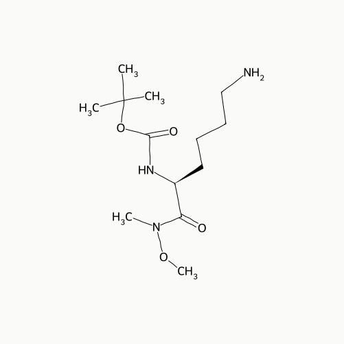 CON(C)C(=O)[C@H](CCCCN)NC(=O)OC(C)(C)C